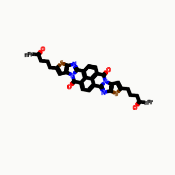 CCCC(=O)CCCc1cc2c(nc3c4ccc5c(=O)n6c7cc(CCCC(=O)CCC)sc7nc6c6ccc(c(=O)n23)c4c56)s1